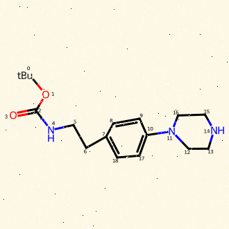 CC(C)(C)OC(=O)NCCc1ccc(N2CCNCC2)cc1